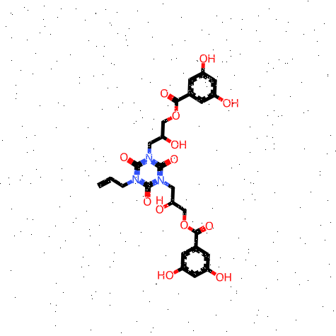 C=CCn1c(=O)n(CC(O)COC(=O)c2cc(O)cc(O)c2)c(=O)n(CC(O)COC(=O)c2cc(O)cc(O)c2)c1=O